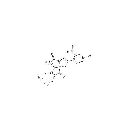 CCOC(=O)C1(C(=O)OCC)CC(c2ccc(Cl)cc2[N+](=O)[O-])=CN1C(C)=O